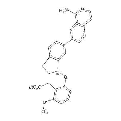 CCOC(=O)Cc1c(O[C@@H]2CCc3ccc(-c4ccc5ccnc(N)c5c4)cc32)cccc1OC(F)(F)F